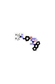 CC(C)NCc1ccc([S@](N)(=O)=NC(=O)Nc2c3c(cc4c2CCC4)CCC3)cc1